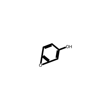 Oc1ccc2c(c1)O2